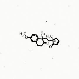 COc1ccc2c(c1)CCC(=O)C2(C)CC[C@@]1(C)CC=CC1=O